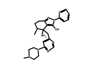 CC1CCc2nn(-c3ccccn3)c(O)c2C1(N)Cc1cc(N2CCN(C)CC2)ncn1